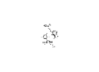 NC(=O)c1cc(I)cc(I)c1I.O=C(O)CCCC(=O)ON1C(=O)CCC1=O.OCCO